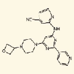 N#Cc1ccnc(Nc2cc(N3CCN(C4COC4)CC3)nc(-c3cccnc3)n2)c1